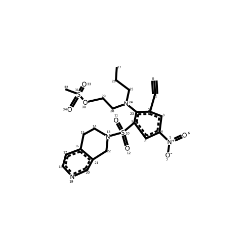 C#Cc1cc([N+](=O)[O-])cc(S(=O)(=O)N2CCc3ccncc3C2)c1N(CCC)CCOS(C)(=O)=O